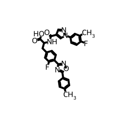 Cc1ccc(-c2nc(-c3ccc(CC(NC(=O)c4cnn(-c5ccc(F)c(C)c5)c4)C(=O)O)cc3F)no2)cc1